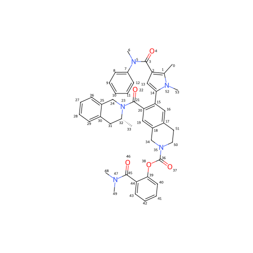 Cc1c(C(=O)N(C)c2ccccc2)cc(-c2cc3c(cc2C(=O)N2Cc4ccccc4C[C@H]2C)CN(C(=O)Oc2ccccc2C(=O)N(C)C)CC3)n1C